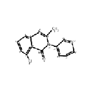 Cc1nc2cccc(Cl)c2c(=O)n1-c1cccnc1